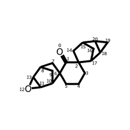 O=C1C2(CCCC13CC1CC3C3OC13)CC1CC2C2CC12